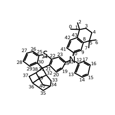 CC1(C)CCC(C)(C)c2cc(N(c3ccccc3)c3ccc4c(c3)Sc3ccccc3C43C4CC5CC6CC3C64C5)ccc21